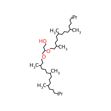 CC(C)CCCC(C)CCCC(C)CCCC(C)CCOCC(CCO)OCCC(C)CCCC(C)CCCC(C)CCCC(C)C